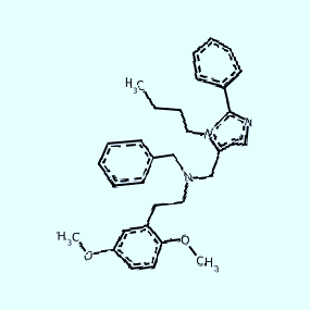 CCCCn1c(CN(CCc2cc(OC)ccc2OC)Cc2ccccc2)cnc1-c1ccccc1